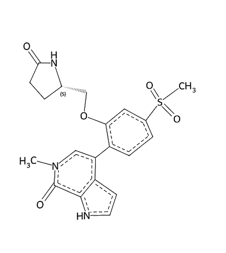 Cn1cc(-c2ccc(S(C)(=O)=O)cc2OC[C@@H]2CCC(=O)N2)c2cc[nH]c2c1=O